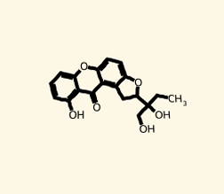 CCC(O)(CO)C1Cc2c(ccc3oc4cccc(O)c4c(=O)c23)O1